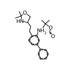 CC(C)(C)OC=O.CC1(C)NC(CCc2ccc(-c3ccccc3)cc2N)CO1